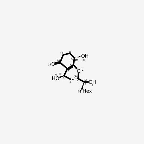 CCCCCC[C@H](O)[C@@H]1C[C@@H](O)C2=C(O1)[C@@H](O)CCC2=O